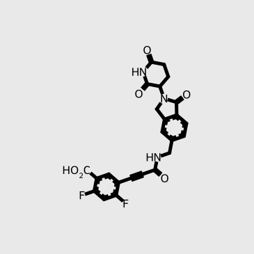 O=C(C#Cc1cc(C(=O)O)c(F)cc1F)NCc1ccc2c(c1)CN(C1CCC(=O)NC1=O)C2=O